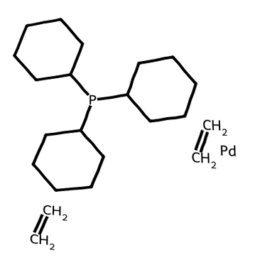 C1CCC(P(C2CCCCC2)C2CCCCC2)CC1.C=C.C=C.[Pd]